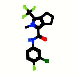 Cn1c(C(=O)Nc2ccc(F)c(Cl)c2)c2c(c1C(F)(F)F)CCC2